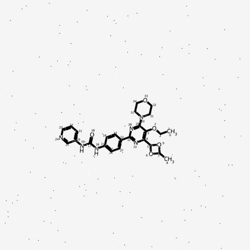 CCOc1c(C2OC(C)O2)nc(-c2ccc(NC(=O)Nc3cccnc3)cc2)nc1N1CCOCC1